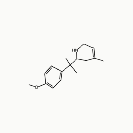 COc1ccc(C(C)(C)C2CC(C)=CCN2)cc1